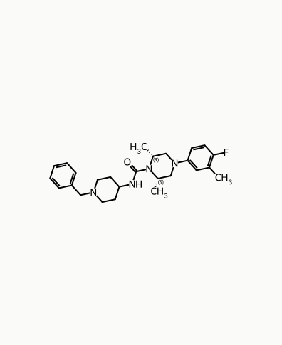 Cc1cc(N2C[C@@H](C)N(C(=O)NC3CCN(Cc4ccccc4)CC3)[C@@H](C)C2)ccc1F